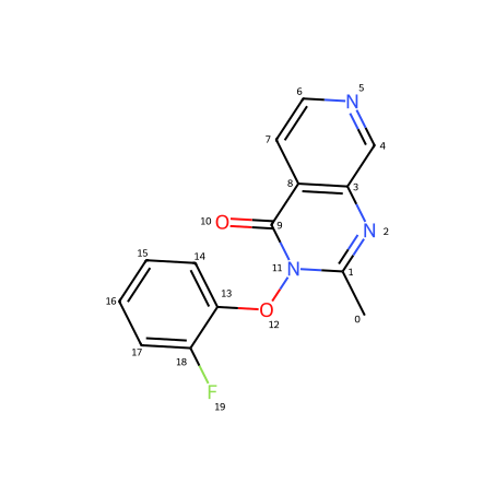 Cc1nc2cnccc2c(=O)n1Oc1ccccc1F